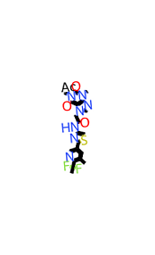 CC(=O)Cn1c(=O)c2c(ncn2CC(=O)Nc2csc(-c3cnc(C(C)(F)F)c(C)c3)n2)n(C)c1=O